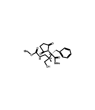 CNC(=O)[C@](Cc1ccccc1)(N1C(=O)CCC1=O)[C@](C)(CO)CNC(=O)OC(C)(C)C